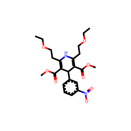 CCOCCC1=C(C(=O)OC)C(c2cccc([N+](=O)[O-])c2)C(C(=O)OC)=C(CCOCC)N1